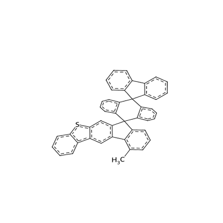 Cc1cccc2c1-c1cc3c(cc1C21c2ccccc2C2(c4ccccc4-c4ccccc42)c2ccccc21)sc1ccccc13